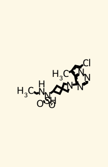 CCNN(C1CC2(C1)CN(c1ncnn3c(Cl)cc(C)c13)C2)[SH](=O)=O